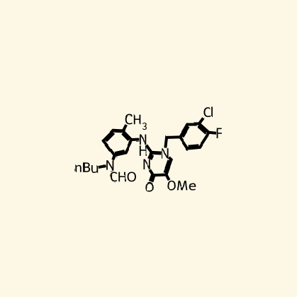 CCCCN(C=O)c1ccc(C)c(Nc2nc(=O)c(OC)cn2Cc2ccc(F)c(Cl)c2)c1